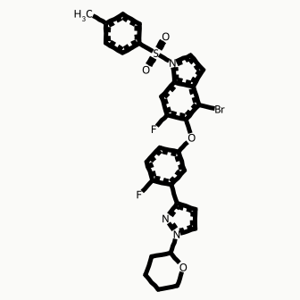 Cc1ccc(S(=O)(=O)n2ccc3c(Br)c(Oc4ccc(F)c(-c5ccn(C6CCCCO6)n5)c4)c(F)cc32)cc1